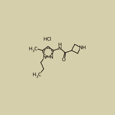 CCCn1nc(NC(=O)C2CNC2)cc1C.Cl